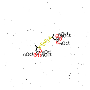 CCCCCCCCO[Si](CC(C)SSSSSSC(C)C[Si](OCCCCCCCC)(OCCCCCCCC)OCCCCCCCC)(OCCCCCCCC)OCCCCCCCC